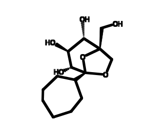 OC[C@@]12CO[C@@](C3CCCCCC3)(O1)[C@H](O)[C@@H](O)[C@@H]2O